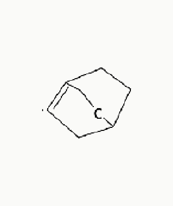 [C]1=C2CCC(C1)CC2